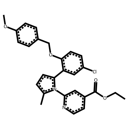 CCOC(=O)c1ccnc(-n2c(C)ccc2-c2cc(Cl)ccc2OCc2ccc(OC)cc2)c1